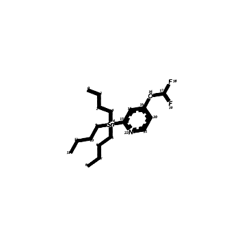 CCC[CH2][Sn]([CH2]CCC)([CH2]CCC)[c]1cc(OC(F)F)ccn1